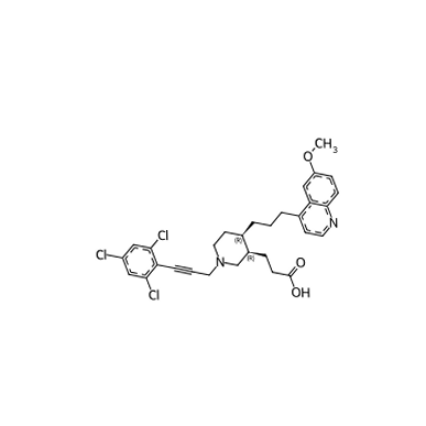 COc1ccc2nccc(CCC[C@@H]3CCN(CC#Cc4c(Cl)cc(Cl)cc4Cl)C[C@@H]3CCC(=O)O)c2c1